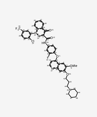 COc1cc2c(Oc3ccc(NC(=O)c4nn(-c5cc(C(F)(F)F)ccc5Cl)c5ccccc5c4=O)cc3F)ccnc2cc1OCCCN1CCCCC1